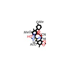 COc1ccc2oc3c(c2c1)CCN[C@]31CS[C@@H]2c3c(OC(C)=O)c(C)c4c(c3[C@H](COC1=O)N1C2[C@H](N(C)C)c2c(cc(C)c(OC)c2O)C[C@@H]1C#N)OCO4